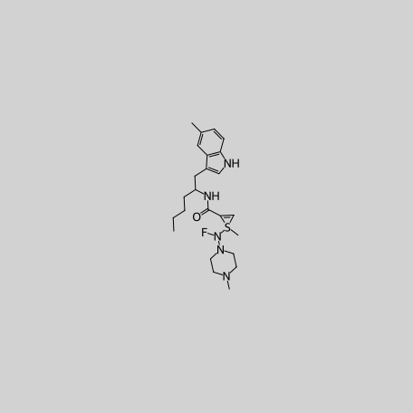 CCCCC(Cc1c[nH]c2ccc(C)cc12)NC(=O)C1=CS1(C)N(F)N1CCN(C)CC1